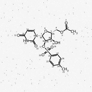 CC(=O)OC[C@H]1O[C@@H](n2ccc(=O)[nH]c2=O)[C@H](OS(=O)(=O)c2ccc(C)cc2)[C@@H]1O